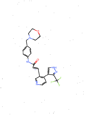 O=C(/C=C/c1cnccc1-c1c[nH]nc1C(F)(F)F)Nc1ccc(CN2CCOCC2)cc1